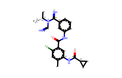 Cc1cc(F)c(C(=O)Nc2cccc(C(=N)N(C=N)[C@@H](C)C(F)(F)F)c2)cc1NC(=O)C1CC1